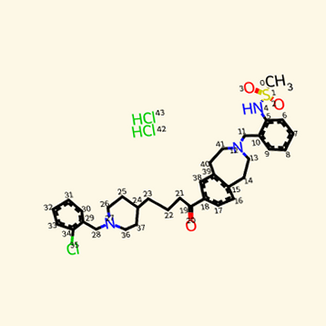 CS(=O)(=O)Nc1ccccc1CN1CCc2ccc(C(=O)CCCC3CCN(Cc4ccccc4Cl)CC3)cc2CC1.Cl.Cl